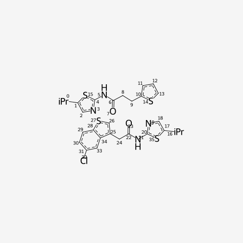 CC(C)c1cnc(NC(=O)CCc2cccs2)s1.CC(C)c1cnc(NC(=O)Cc2csc3ccc(Cl)cc23)s1